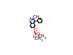 COC(COc1ccc2cnc(C)c(-c3ccccc3)c2c1)OC